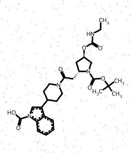 CCNC(=O)O[C@@H]1C[C@@H](CC(=O)N2CCC(c3cn(C(=O)O)c4ccccc34)CC2)N(C(=O)OC(C)(C)C)C1